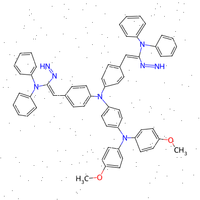 COc1ccc(N(c2ccc(OC)cc2)c2ccc(N(c3ccc(C=C(N=N)N(c4ccccc4)c4ccccc4)cc3)c3ccc(C=C(N=N)N(c4ccccc4)c4ccccc4)cc3)cc2)cc1